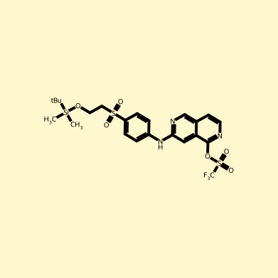 CC(C)(C)[Si](C)(C)OCCS(=O)(=O)c1ccc(Nc2cc3c(OS(=O)(=O)C(F)(F)F)nccc3cn2)cc1